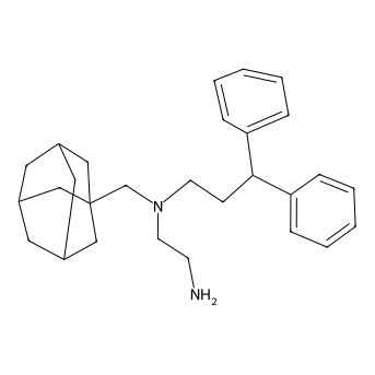 NCCN(CCC(c1ccccc1)c1ccccc1)CC12CC3CC(CC(C3)C1)C2